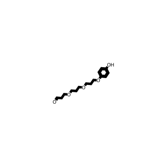 O=CCCOCCCOCCCOc1ccc(O)cc1